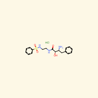 Cl.N[C@@H](Cc1ccccc1)[C@@H](O)C(=O)NCCNS(=O)(=O)c1ccccc1